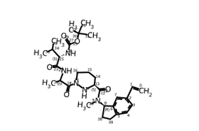 C=Cc1ccc2c(c1)[C@H](N(C)C(=O)[C@@H]1CCCN(C(=O)C(C)NC(=O)[C@@H](NC(=O)OC(C)(C)C)C(C)C)N1)CC2